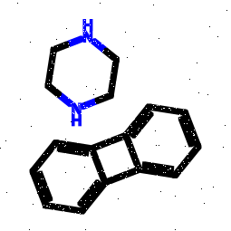 C1CNCCN1.c1ccc2c(c1)-c1ccccc1-2